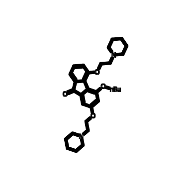 CCCCOc1cc(OCCN2CCCCC2)cc2c1-c1c(OCCN3CCCCC3)cccc1C2=O